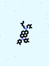 C=C/C(C)=C\C=C\N(C/C=C\C(C)=C(C)C)c1ccc2ccc3c(N(c4ccc(C)c(C)c4)c4ccc(C)c(C)c4)ccc4ccc1c2c43